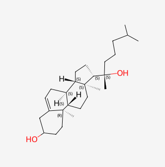 CC(C)CCC[C@](C)(O)[C@H]1CC[C@H]2[C@@H]3CC=C4CC(O)CC[C@]4(C)[C@H]3CC[C@@]21C